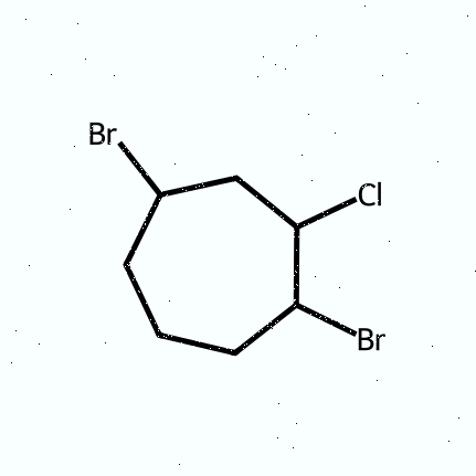 ClC1CC(Br)CCCC1Br